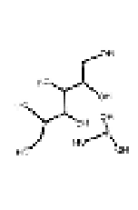 OCC(O)C(O)C(O)C(O)CO.OP(O)O